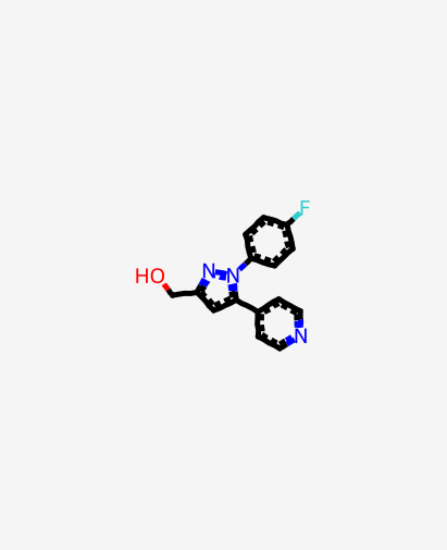 OCc1cc(-c2ccncc2)n(-c2ccc(F)cc2)n1